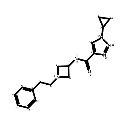 O=C(NC1CN(CCc2ccccc2)C1)c1cn(C2CC2)nn1